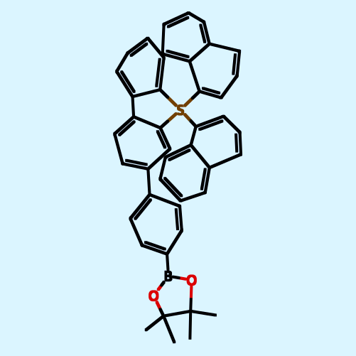 CC1(C)OB(c2ccc(-c3ccc4c(c3)S(c3cccc5ccccc35)(c3cccc5ccccc35)c3ccccc3-4)cc2)OC1(C)C